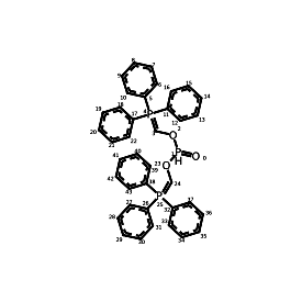 O=[PH](OC=P(c1ccccc1)(c1ccccc1)c1ccccc1)OC=P(c1ccccc1)(c1ccccc1)c1ccccc1